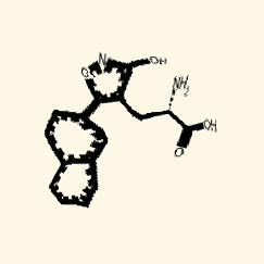 N[C@@H](Cc1c(O)noc1-c1ccc2ccccc2c1)C(=O)O